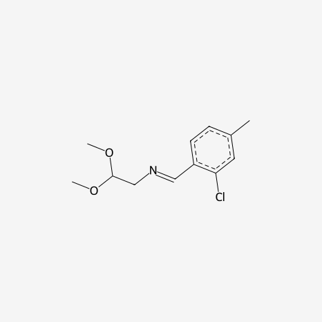 COC(C/N=C/c1ccc(C)cc1Cl)OC